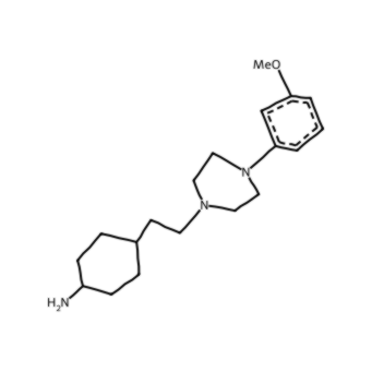 COc1cccc(N2CCN(CCC3CCC(N)CC3)CC2)c1